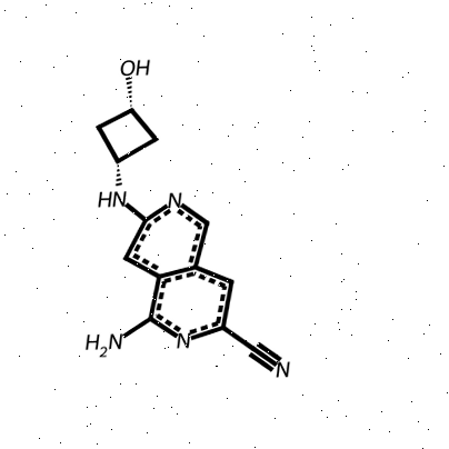 N#Cc1cc2cnc(N[C@H]3C[C@@H](O)C3)cc2c(N)n1